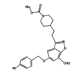 CC(C)(C)OC(=O)N1CCC(CCc2noc3c(C=O)cc(OCc4ccc(C#N)cc4)cc23)CC1